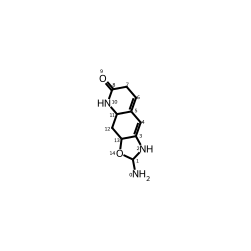 NC1NC2=CC3=CCC(=O)NC3CC2O1